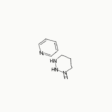 C1CNNNC1.c1ccncc1